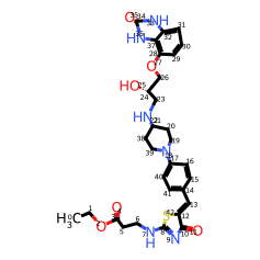 CCOC(=O)CCNC1=NC(=O)C(=Cc2ccc(N3CCC(NC[C@H](O)COc4cccc5[nH]c(=O)[nH]c45)CC3)cc2)S1